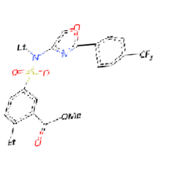 CCc1ccc(S(=O)(=O)N(CC)c2coc(-c3ccc(C(F)(F)F)cc3)n2)cc1C(=O)OC